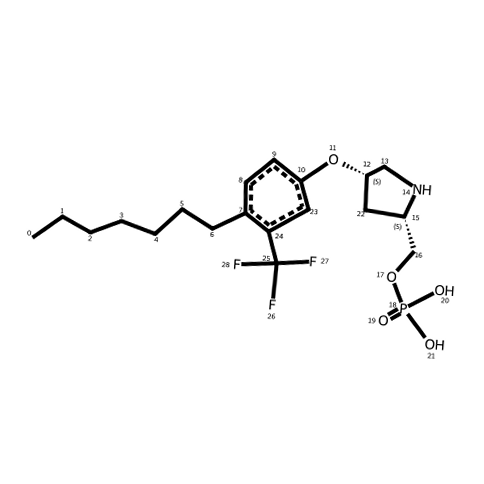 CCCCCCCc1ccc(O[C@@H]2CN[C@H](COP(=O)(O)O)C2)cc1C(F)(F)F